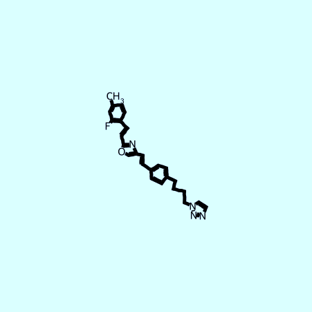 Cc1ccc(/C=C/c2nc(/C=C/c3ccc(CCCCn4ccnn4)cc3)co2)c(F)c1